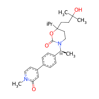 CC(C)C1(CCC(C)(C)O)CCN([C@@H](C)c2ccc(-c3ccn(C)c(=O)c3)cc2)C(=O)O1